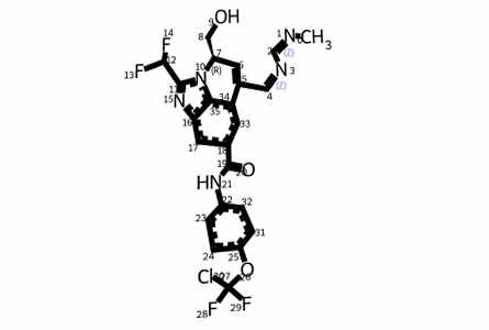 C/N=C\N=C/C1=C[C@H](CO)n2c(C(F)F)nc3cc(C(=O)Nc4ccc(OC(F)(F)Cl)cc4)cc1c32